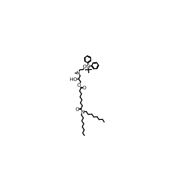 CCCCCCCCN(CCCCCCCC)C(=O)CCCCCCC(=O)OCC(O)CN(C)CCO[Si](c1ccccc1)(c1ccccc1)C(C)(C)C